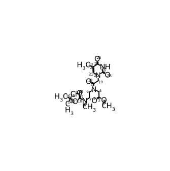 COC(=O)CN(CCN(C)C(=O)OC(C)(C)C)C(=O)Cn1cc(C)c(=O)[nH]c1=O